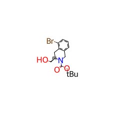 CC(C)(C)OC(=O)N1Cc2cccc(Br)c2C[C@@H]1CO